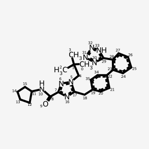 CC(C)(C)Cn1nc(C(=O)NC2CCCC2)nc1Cc1ccc(-c2ccccc2-c2nnn[nH]2)cc1